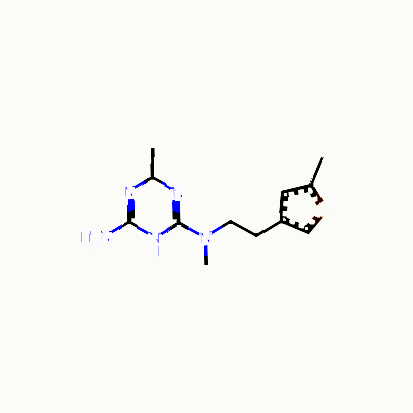 Cc1cc(CCN(C)C2=NC(C)N=C(N)N2)cs1